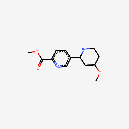 COC(=O)c1ccc(C2CC(OC)CCN2)cn1